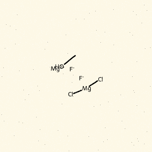 CO.[Cl][Mg][Cl].[F-].[F-].[Mg+2]